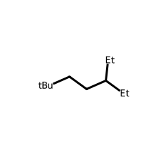 CCC(CC)CCC(C)(C)C